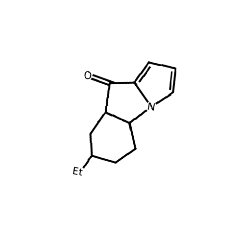 CCC1CCC2C(C1)C(=O)c1cccn12